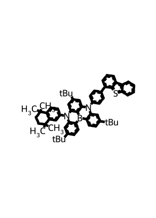 CC(C)(C)c1ccc2c(c1)N(c1ccc(-c3cccc4c3sc3ccccc34)cc1)c1cc(C(C)(C)C)cc3c1B2c1ccc(C(C)(C)C)cc1N3c1ccc2c(c1)C(C)(C)CCC2(C)C